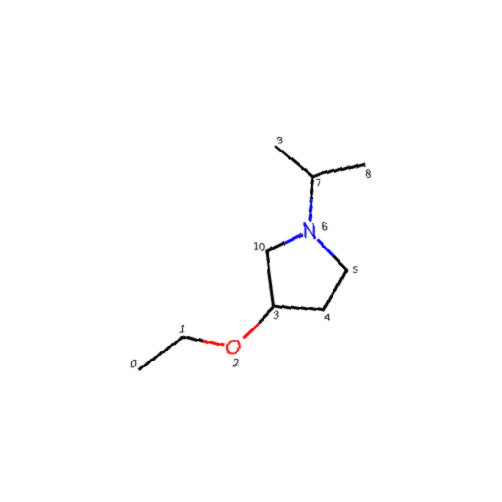 CCOC1CCN(C(C)C)C1